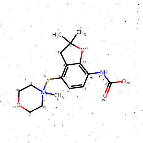 CC1(C)Cc2c(S[N+]3(C)CCOCC3)ccc(NC(=O)[O-])c2O1